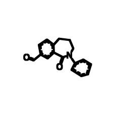 O=Cc1ccc2c(c1)C(=O)N(c1ccccc1)CCC2